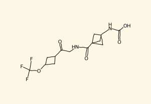 O=C(O)NC12CC(C(=O)NCC(=O)C3CC(OC(F)(F)F)C3)(C1)C2